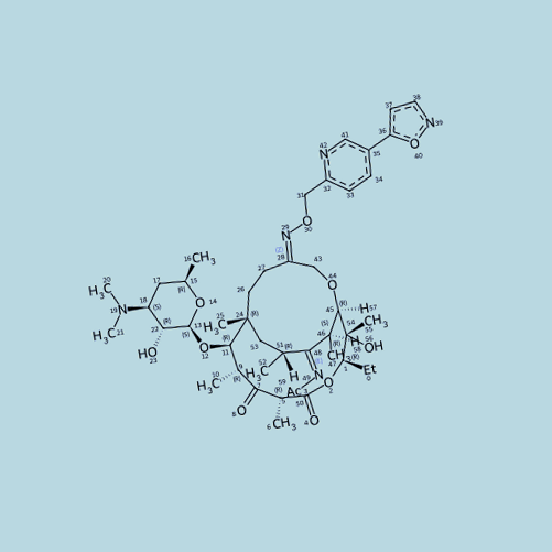 CC[C@H]1OC(=O)[C@H](C)C(=O)[C@H](C)[C@@H](O[C@@H]2O[C@H](C)C[C@H](N(C)C)[C@H]2O)[C@]2(C)CC/C(=N/OCc3ccc(-c4ccno4)cn3)CO[C@H]([C@@H](C)/C(=N/C(C)=O)[C@H](C)C2)[C@]1(C)O